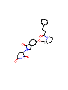 O=C1CCC(N2Cc3cc(OC[C@@H]4CCCCN4C(=O)CCc4ccccc4)ccc3C2=O)C(=O)N1